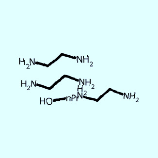 CCCO.NCCN.NCCN.NCCN